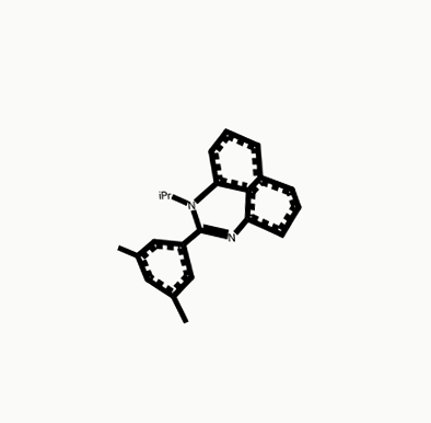 Cc1cc(C)cc(C2=Nc3cccc4cccc(c34)N2C(C)C)c1